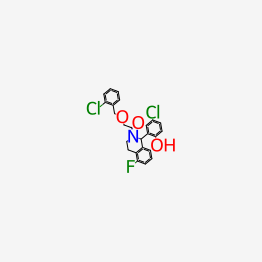 O=C(COCc1ccccc1Cl)N1CCc2c(F)cccc2C1c1cc(Cl)ccc1O